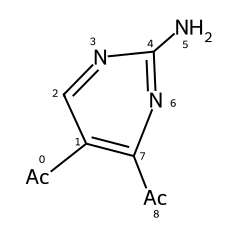 CC(=O)c1cnc(N)nc1C(C)=O